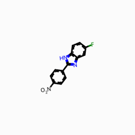 O=[N+]([O-])c1ccc(-c2nc3cc(F)ccc3[nH]2)cc1